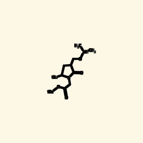 C[SiH](C)OCC1CC(C(C)(C)C)N(CC(=O)OC(C)(C)C)C1=O